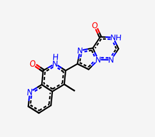 Cc1c(-c2cn3nc[nH]c(=O)c3n2)[nH]c(=O)c2ncccc12